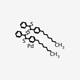 CCCCCCCCc1ccc(C(=S)C(=S)c2ccccc2)cc1.CCCCCCCCc1ccc(C(=S)C(=S)c2ccccc2)cc1.[Pd]